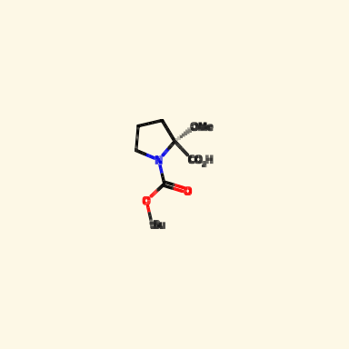 CO[C@@]1(C(=O)O)CCCN1C(=O)OC(C)(C)C